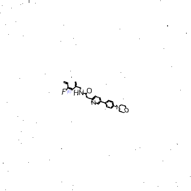 C=C/C(F)=C\C(=C)CNC(=O)Cc1ccc(-c2ccc(N3CCOCC3)cc2)cn1